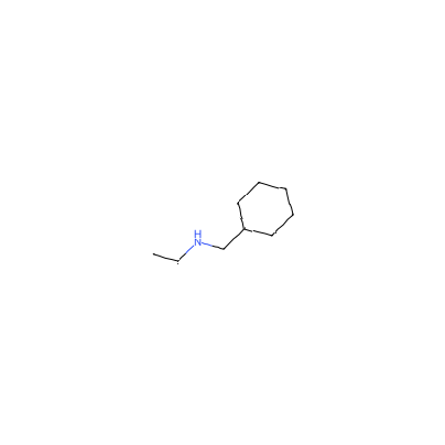 C[CH]NCC1CCCCC1